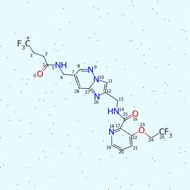 O=C(CCC(F)(F)F)NCc1cnn2cc(CNC(=O)c3ncccc3OCC(F)(F)F)nc2c1